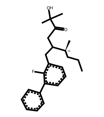 CCC[C@H](C)C(CC(=O)C(C)(C)O)Cc1cccc(-c2ccccc2)c1F